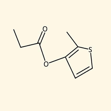 CCC(=O)Oc1ccsc1C